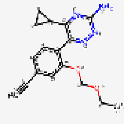 C#Cc1ccc(-c2nnc(N)nc2C2CC2)c(OCOCC)c1